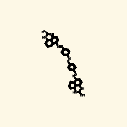 CCCC1Nc2cccc3c(N=Nc4ccc(N=Nc5ccc(N=Nc6ccc7c8c(cccc68)NC(CCC)N7)cc5)cc4)ccc(c23)N1